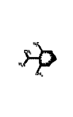 CB(N)c1c(C)cccc1C